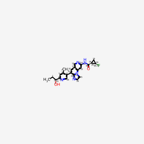 CC[C@H](O)c1cc(C)c(-c2cc3cnc(NC(=O)[C@H]4C[C@H]4F)cc3n3ccnc23)cn1